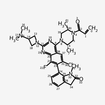 C=CC(=O)N1C[C@H](C)N(c2nc(N3CC(N(C)C)C3)nc3c(F)c(-c4cccc5c4N(C)C(=O)C5)c(Cl)cc23)C[C@H]1C